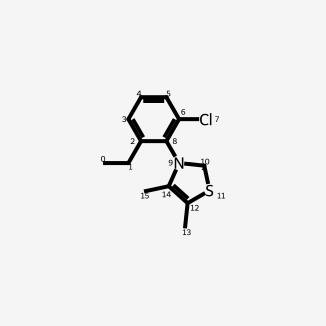 CCc1cccc(Cl)c1N1[C]SC(C)=C1C